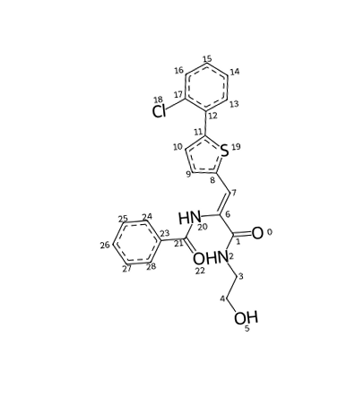 O=C(NCCO)C(=Cc1ccc(-c2ccccc2Cl)s1)NC(=O)c1ccccc1